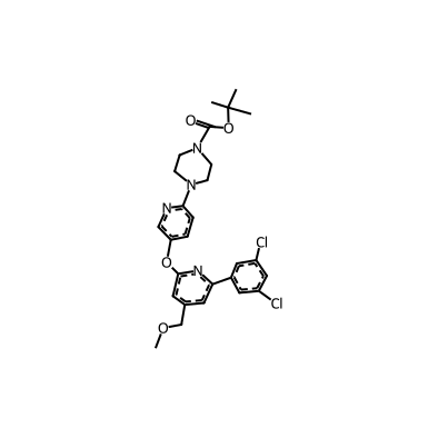 COCc1cc(Oc2ccc(N3CCN(C(=O)OC(C)(C)C)CC3)nc2)nc(-c2cc(Cl)cc(Cl)c2)c1